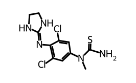 CN(C(N)=S)c1cc(Cl)c(N=C2NCCN2)c(Cl)c1